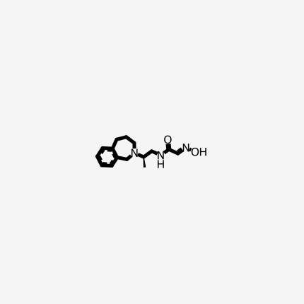 C[C@H](CNC(=O)/C=N/O)N1CCCc2ccccc2C1